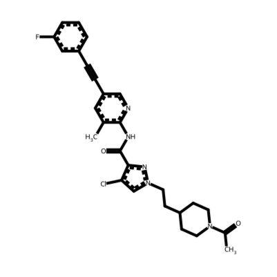 CC(=O)N1CCC(CCn2cc(Cl)c(C(=O)Nc3ncc(C#Cc4cccc(F)c4)cc3C)n2)CC1